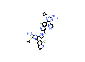 Cn1ccc(-c2nc(N)c(SC3CCC3)nc2-c2cc(Cl)c3ncc(Cn4ccc(-c5nc(N)c(SC6CC6)nc5-c5cc(Cl)c6ncccc6c5)n4)cc3c2)n1